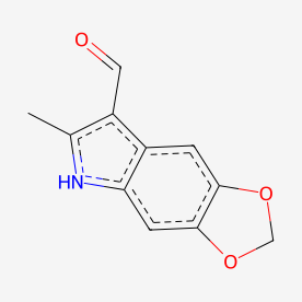 Cc1[nH]c2cc3c(cc2c1C=O)OCO3